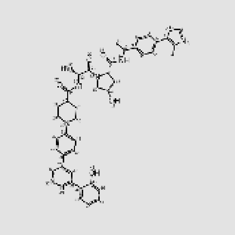 Cc1ncsc1-c1ccc([C@H](C)NC(=O)[C@@H]2C[C@@H](O)CN2C(=O)[C@@H](NC(=O)C2CCN(c3ccc(-c4cnnc(-c5ccccc5O)c4)cc3)CC2)C(C)(C)C)cc1